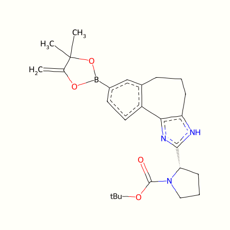 C=C1OB(c2ccc3c(c2)CCCc2[nH]c([C@@H]4CCCN4C(=O)OC(C)(C)C)nc2-3)OC1(C)C